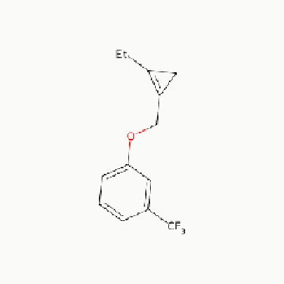 CCC1=C(COc2cccc(C(F)(F)F)c2)C1